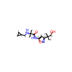 CC(C)(NCC1CC1)C(=O)Nc1cc(C(C)(C)CO)no1